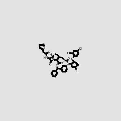 O=C(Cc1cccs1)NC1C(=O)N2C(C(=O)OC(c3ccccc3)c3ccccc3)=C(COC(=O)Oc3cc(Cl)ccc3Oc3ccc(Cl)cc3Cl)CS[C@H]12